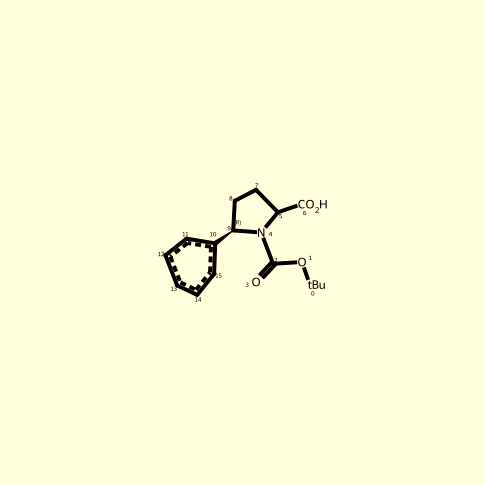 CC(C)(C)OC(=O)N1C(C(=O)O)CC[C@@H]1c1ccccc1